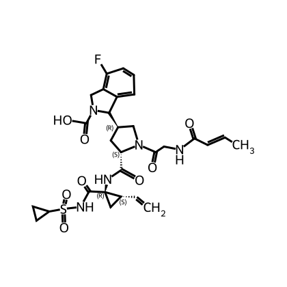 C=C[C@@H]1C[C@]1(NC(=O)[C@@H]1C[C@@H](C2c3cccc(F)c3CN2C(=O)O)CN1C(=O)CNC(=O)C=CC)C(=O)NS(=O)(=O)C1CC1